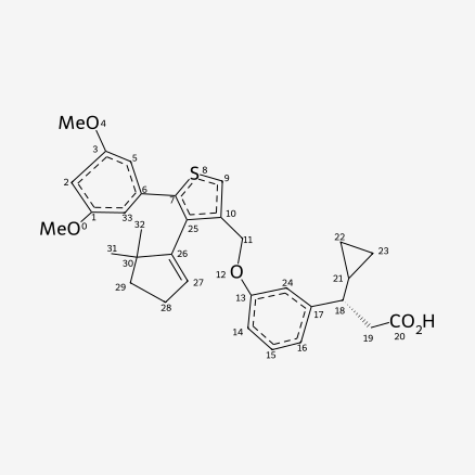 COc1cc(OC)cc(-c2scc(COc3cccc([C@@H](CC(=O)O)C4CC4)c3)c2C2=CCCC2(C)C)c1